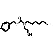 NCCCCCN(CCN)C(=O)OCc1ccccc1